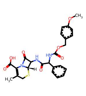 COc1ccc(COC(=O)NC(C(=O)NC2C(=O)N3C(C(=O)O)=C(C)CS[C@@H]23)c2ccccc2)cc1